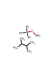 CC(C)C(C)C.CC(C)[Si](O[SiH3])(C(C)C)C(C)C